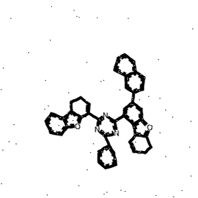 C1=Cc2c(oc3cc(-c4ccc5ccccc5c4)cc(-c4nc(C5=CCCc6c5oc5ccccc65)nc(-c5ccccc5)n4)c23)CC1